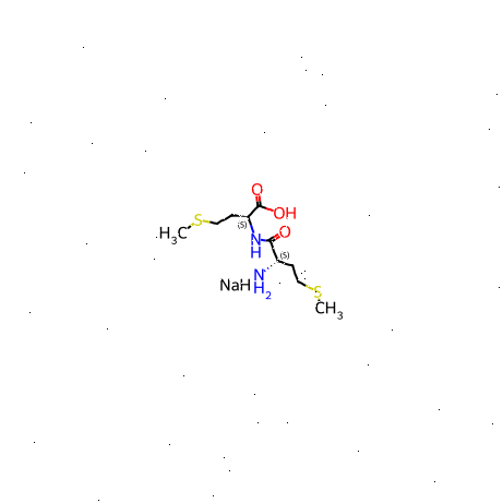 CSCC[C@H](NC(=O)[C@@H](N)CCSC)C(=O)O.[NaH]